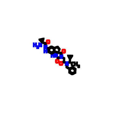 C[C@@H](C1CC1)N(Cc1ccccc1)C(=O)CN1C(=O)N[C@]2(CCc3cc(NC(=O)C4(N)CC4)ccc32)C1=O